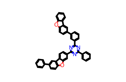 c1ccc(-c2ccc3oc4cc(-c5nc(-c6ccccc6)nc(-c6cccc(-c7ccc8oc9ccccc9c8c7)c6)n5)ccc4c3c2)cc1